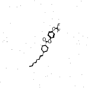 CCCCCCCC[C@H]1CC[C@H](C(=O)Oc2ccc(OC(F)F)cc2)CC1